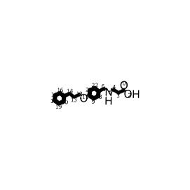 O=C(O)CCNCc1ccc(OCCCc2ccccc2)cc1